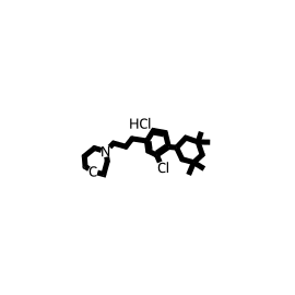 CC1(C)CC(c2ccc(CCCN3CCCCCC3)cc2Cl)CC(C)(C)C1.Cl